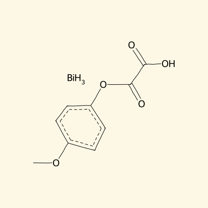 COc1ccc(OC(=O)C(=O)O)cc1.[BiH3]